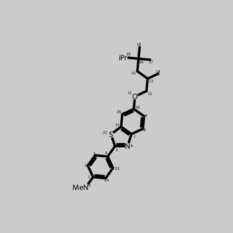 CNc1ccc(-c2nc3ccc(OCC(C)CC(C)(C)C(C)C)cc3s2)cc1